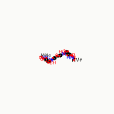 CNC(=O)NC(=O)c1ccc2c(N=Nc3ccc(CC(=O)c4ccc(N=Nc5c(O)ccc6cc(C(=O)NC(=O)NC)ccc56)cc4)cc3)c(O)ccc2c1